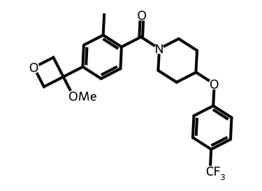 COC1(c2ccc(C(=O)N3CCC(Oc4ccc(C(F)(F)F)cc4)CC3)c(C)c2)COC1